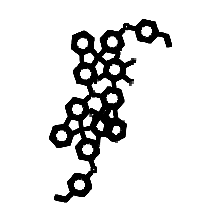 C=Cc1ccc(Oc2ccc(C3(c4c(F)c(F)c(F)c(F)c4F)c4ccccc4-c4ccc(N(c5ccc6c(c5)C(c5ccc(Oc7ccc(C=C)cc7)cc5)(c5c(F)c(F)c(F)c(F)c5F)c5ccccc5-6)c5cccc6c5C(C)(C)c5ccccc5-6)cc43)cc2)cc1